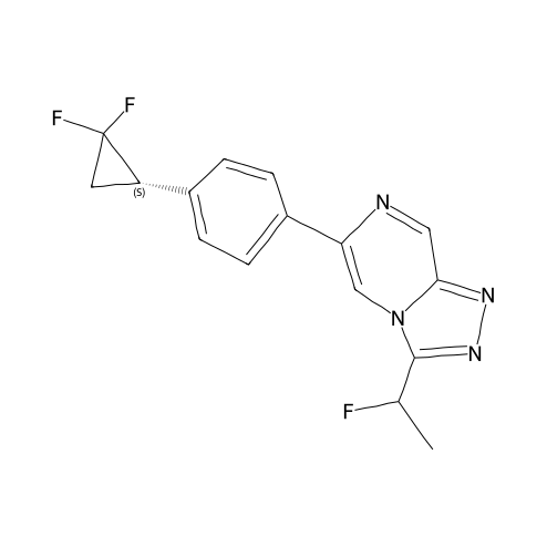 CC(F)c1nnc2cnc(-c3ccc([C@@H]4CC4(F)F)cc3)cn12